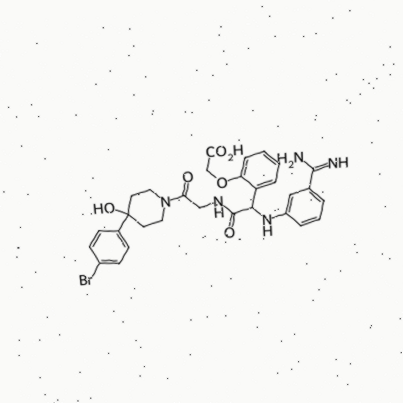 N=C(N)c1cccc(NC(C(=O)NCC(=O)N2CCC(O)(c3ccc(Br)cc3)CC2)c2ccccc2OCC(=O)O)c1